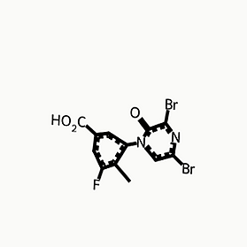 Cc1c(F)cc(C(=O)O)cc1-n1cc(Br)nc(Br)c1=O